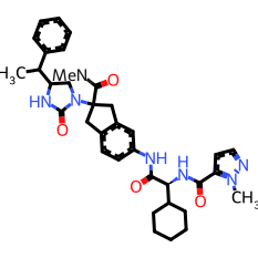 CNC(=O)C1(N2CC(C(C)c3ccccc3)NC2=O)Cc2ccc(NC(=O)[C@@H](NC(=O)c3ccnn3C)C3CCCCC3)cc2C1